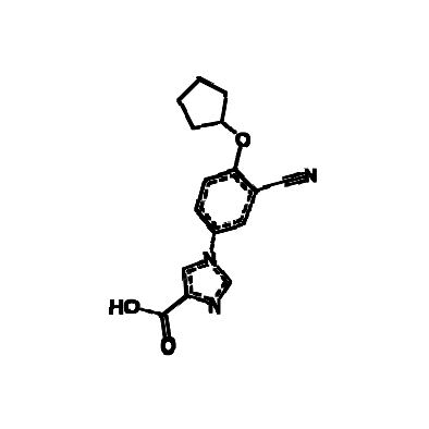 N#Cc1cc(-n2cnc(C(=O)O)c2)ccc1OC1CCCC1